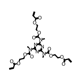 C=CC(=O)OCCOC(=O)N(C)c1nc(N(C)C(=O)OCCOC(=O)C=C)nc(N(C)C(=O)OCCOC(=O)C=C)n1